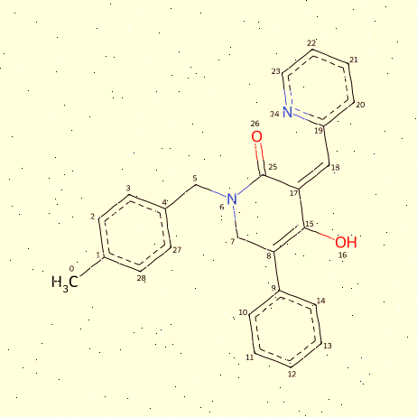 Cc1ccc(CN2CC(c3ccccc3)=C(O)C(=Cc3ccccn3)C2=O)cc1